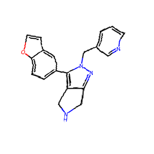 c1cncc(Cn2nc3c(c2-c2ccc4occc4c2)CNC3)c1